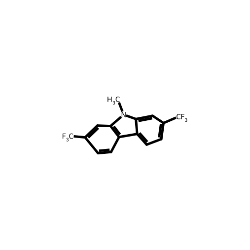 Cn1c2cc(C(F)(F)F)ccc2c2ccc(C(F)(F)F)cc21